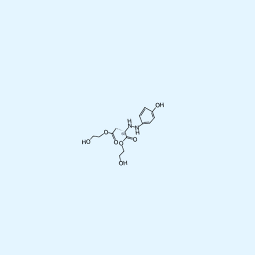 O=C(C[C@H](NNc1ccc(O)cc1)C(=O)OCCO)OCCO